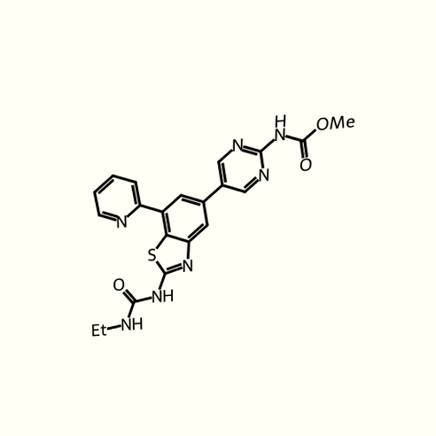 CCNC(=O)Nc1nc2cc(-c3cnc(NC(=O)OC)nc3)cc(-c3ccccn3)c2s1